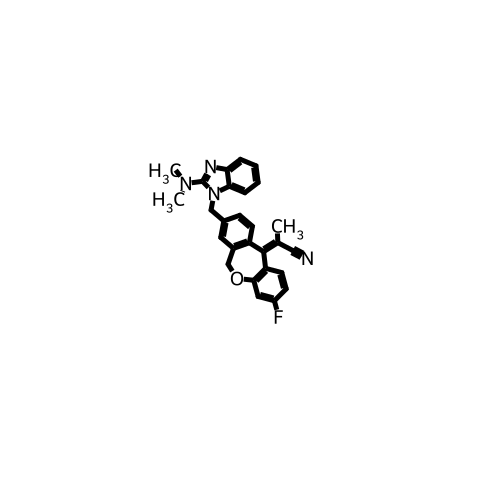 C/C(C#N)=C1\c2ccc(Cn3c(N(C)C)nc4ccccc43)cc2COc2cc(F)ccc21